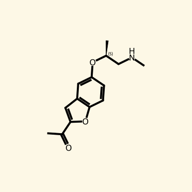 CNC[C@H](C)Oc1ccc2oc(C(C)=O)cc2c1